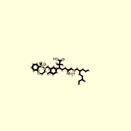 CCCC(CCC(C)CC)CN/C=C(\N)CCC(c1ccc(C)c(CN2CCOc3ccccc3S2(=O)=O)c1)C(C)(C)C(=O)O